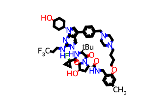 Cc1ccc(CNC(=O)[C@@H]2C[C@@H](O)CN2C(=O)[C@@H](NC(=O)C2(F)CC2)C(C)(C)C)c(OCCCCN2CCN(Cc3ccc(-c4cn([C@H]5CC[C@H](O)CC5)c5nc(NCCC(F)(F)F)ncc45)cc3)CC2)c1